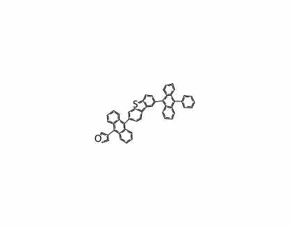 c1ccc(-c2c3ccccc3c(-c3ccc4sc5cc(-c6c7ccccc7c(-c7ccoc7)c7ccccc67)ccc5c4c3)c3ccccc23)cc1